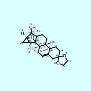 C[C@]12CC[C@H]3[C@@H](CC=C4CC5(CC[C@@H]43)OCCO5)[C@@H]1[C@H]1C[C@H]1[C@H]2O